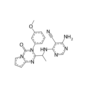 COc1cccc(-n2c(C(C)Nc3ncnc(N)c3C#N)nc3cccn3c2=O)c1